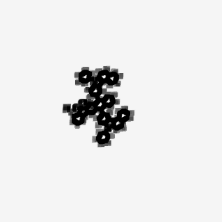 CC1(C)c2ccccc2-c2cc3c(-c4ccc5c(c4)c4c6ccccc6ccc4n5C4C=CC=CC4)c4ccccc4c(-c4ccc5c(c4)c4c6ccccc6ccc4n5-c4ccccc4)c3cc21